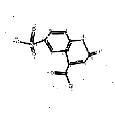 O=C(O)c1cc(=O)[nH]c2ccc(S(=O)(=O)O)cc12